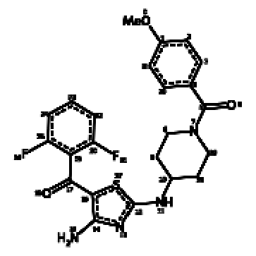 COc1ccc(C(=O)N2CCC(Nc3nc(N)c(C(=O)c4c(F)cccc4F)s3)CC2)cc1